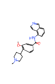 COc1cc(C(=O)Nc2cccc3cnccc23)ccc1C1CCN(C)CC1